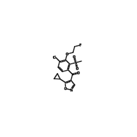 CS(=O)(=O)c1c(C(=O)c2cnoc2C2CC2)ccc(Cl)c1OCCF